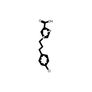 O=C(O)c1cn(CCCc2ccc(Cl)cc2)cn1